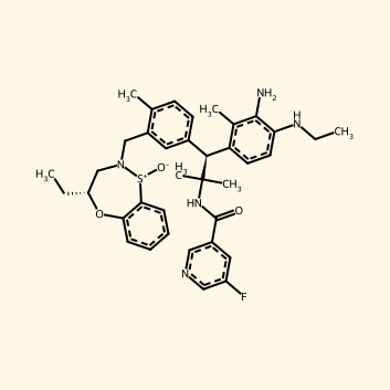 CCNc1ccc([C@H](c2ccc(C)c(CN3C[C@@H](CC)Oc4ccccc4[S+]3[O-])c2)C(C)(C)NC(=O)c2cncc(F)c2)c(C)c1N